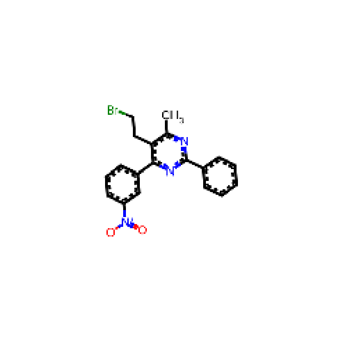 Cc1nc(-c2ccccc2)nc(-c2cccc([N+](=O)[O-])c2)c1CCBr